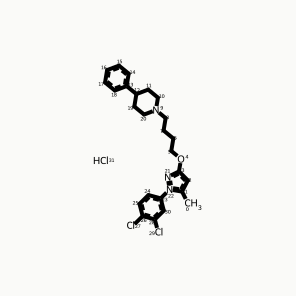 Cc1cc(OCCCCN2CCC(c3ccccc3)CC2)nn1-c1ccc(Cl)c(Cl)c1.Cl